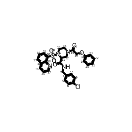 O=C(NCc1ccc(Cl)cc1)C1CN(C(=O)COc2ccccc2)CCN1S(=O)(=O)c1cccc2cccnc12